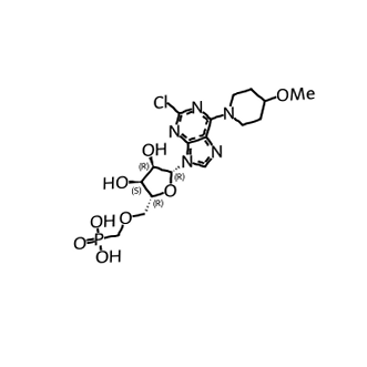 COC1CCN(c2nc(Cl)nc3c2ncn3[C@@H]2O[C@H](COCP(=O)(O)O)[C@@H](O)[C@H]2O)CC1